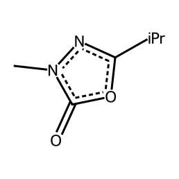 CC(C)c1nn(C)c(=O)o1